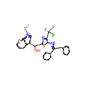 OC(c1nc(C(F)(F)F)c(N=C(c2ccccc2)c2ccccc2)s1)c1cn(SF)c2ccccc12